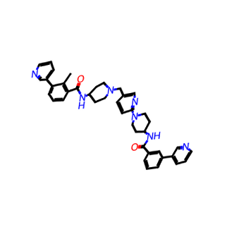 Cc1c(C(=O)NC2CCN(Cc3ccc(N4CCC(NC(=O)c5cccc(-c6cccnc6)c5)CC4)nc3)CC2)cccc1-c1cccnc1